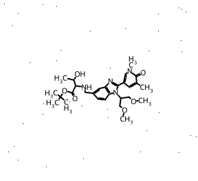 COCC(COC)n1c(-c2cc(C)c(=O)n(C)c2)nc2cc(CNC(C(=O)OC(C)(C)C)C(C)O)ccc21